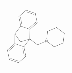 c1ccc2c(c1)C1CC2(CN2CCCCC2)c2ccccc21